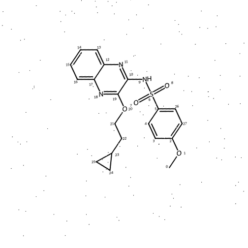 COc1ccc(S(=O)(=O)Nc2nc3ccccc3nc2OCCC2CC2)cc1